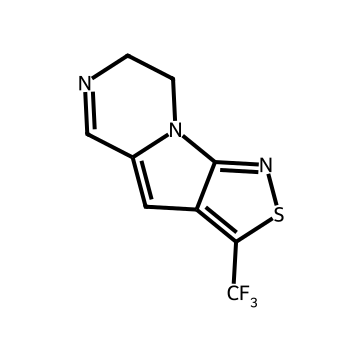 FC(F)(F)c1snc2c1cc1n2CCN=C1